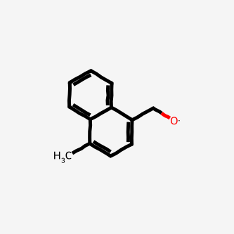 Cc1ccc(C[O])c2ccccc12